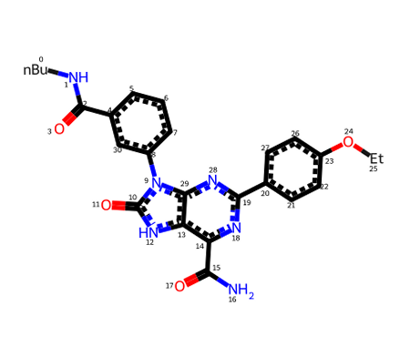 CCCCNC(=O)c1cccc(-n2c(=O)[nH]c3c(C(N)=O)nc(-c4ccc(OCC)cc4)nc32)c1